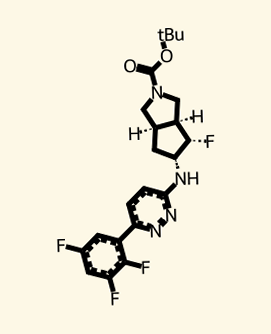 CC(C)(C)OC(=O)N1C[C@@H]2C[C@@H](Nc3ccc(-c4cc(F)cc(F)c4F)nn3)[C@@H](F)[C@@H]2C1